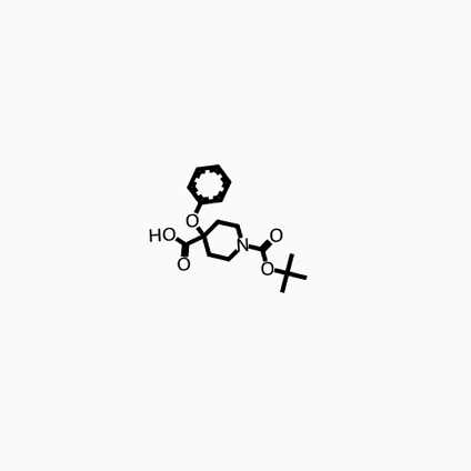 CC(C)(C)OC(=O)N1CCC(Oc2ccccc2)(C(=O)O)CC1